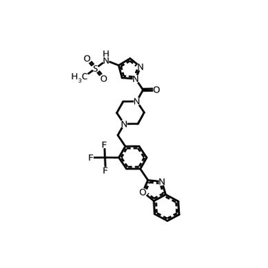 CS(=O)(=O)Nc1cnn(C(=O)N2CCN(Cc3ccc(-c4nc5ccccc5o4)cc3C(F)(F)F)CC2)c1